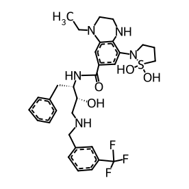 CCN1CCNc2c1cc(C(=O)N[C@@H](Cc1ccccc1)[C@H](O)CNCc1cccc(C(F)(F)F)c1)cc2N1CCCS1(O)O